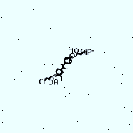 CC(C)OC[C@@H](O)COc1ccc(C(C)(C)c2ccc(OC[C@H](O)CCl)c(I)c2)cc1